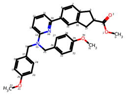 COC(=O)C1Cc2ccc(-c3cccc(N(Cc4ccc(OC)cc4)Cc4ccc(OC)cc4)n3)cc2C1